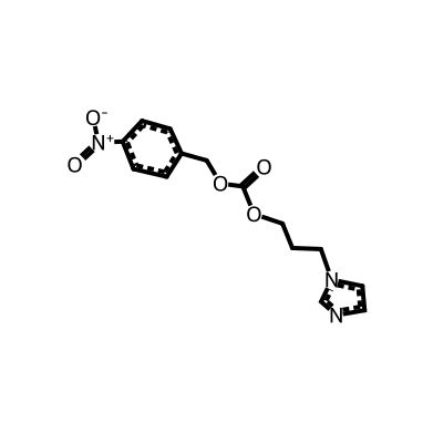 O=C(OCCCn1ccnc1)OCc1ccc([N+](=O)[O-])cc1